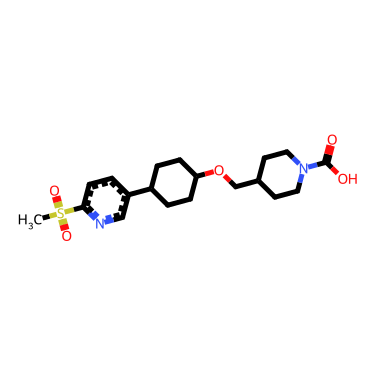 CS(=O)(=O)c1ccc(C2CCC(OCC3CCN(C(=O)O)CC3)CC2)cn1